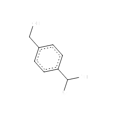 CC(=O)C(O)c1ccc(CO)cc1